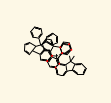 CC1(C)c2ccccc2-c2cccc(N(c3ccc4c(c3)C(c3ccccc3)(c3ccccc3)C3C=CC=CC43)C3C=CC=CC3c3ccccc3-c3ccccc3-c3ccccc3)c21